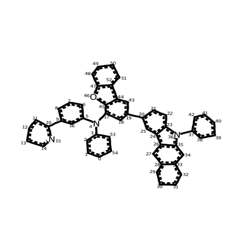 c1ccc(N(c2cccc(-c3ccccn3)c2)c2cc(-c3ccc4c(c3)c3cc5ccccc5cc3n4-c3ccccc3)cc3c2oc2ccccc23)cc1